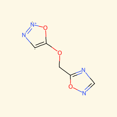 [C]1=C(OCc2ncno2)O[N+]=N1